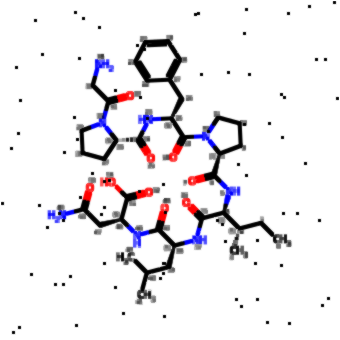 CC[C@H](C)[C@H](NC(=O)[C@@H]1CCCN1C(=O)[C@H](Cc1ccccc1)NC(=O)[C@@H]1CCCN1C(=O)CN)C(=O)N[C@@H](CC(C)C)C(=O)N[C@@H](CC(N)=O)C(=O)O